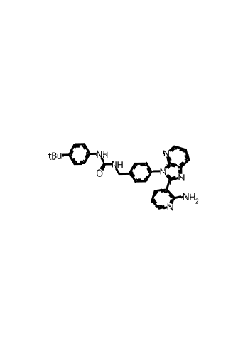 CC(C)(C)c1ccc(NC(=O)NCc2ccc(-n3c(-c4cccnc4N)nc4cccnc43)cc2)cc1